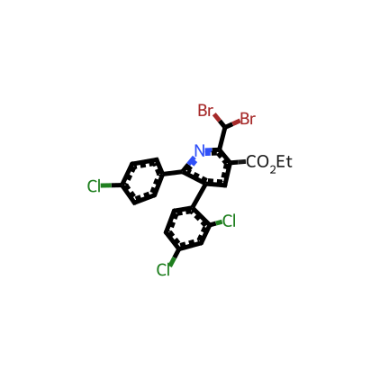 CCOC(=O)c1cc(-c2ccc(Cl)cc2Cl)c(-c2ccc(Cl)cc2)nc1C(Br)Br